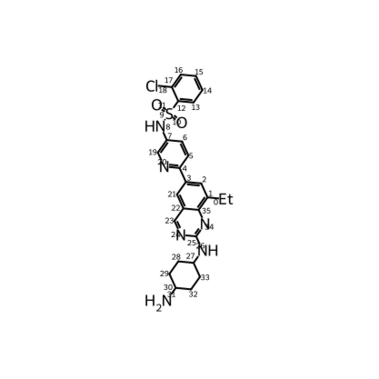 CCc1cc(-c2ccc(NS(=O)(=O)c3ccccc3Cl)cn2)cc2cnc(NC3CCC(N)CC3)nc12